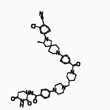 C[C@@H]1CC2(CCN(c3ccc(C(=O)N4CCC(CN5CCN(c6ccc(C(=O)N[C@H]7CCC(=O)NC7=O)cc6)CC5)CC4)cc3)CC2)CN1c1ccc(C#N)c(Cl)c1